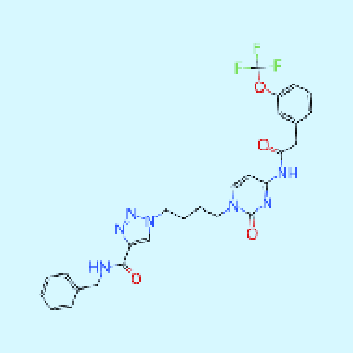 O=C(Cc1cccc(OC(F)(F)F)c1)Nc1ccn(CCCCn2cc(C(=O)NCc3ccccc3)nn2)c(=O)n1